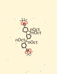 CCCCCCCCC(CCCCCCCC)(c1cccc(B2OC(C)(C)C(C)(C)O2)c1)c1ccc2c(c1)-c1ccc(B3OC(C)(C)C(C)(C)O3)cc1C2(CCCCCCCC)CCCCCCCC